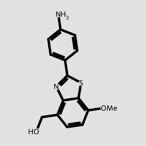 COc1ccc(CO)c2nc(-c3ccc(N)cc3)sc12